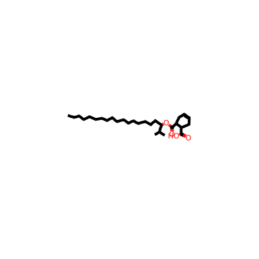 CCCCCCCCCCCCCCCCCC(OC(=O)C1CC=CCC1C(=O)O)C(C)C